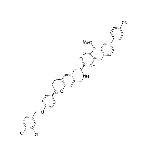 COOC(=O)[C@H](Cc1ccc(-c2ccc(C#N)cc2)cc1)NC(=O)[C@@H]1Cc2cc3c(cc2CN1)O[C@@H](c1ccc(OCc2ccc(Cl)c(Cl)c2)cc1)CO3